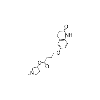 CN1CCC(OC(=O)CCCOc2ccc3c(c2)CCC(=O)N3)C1